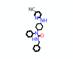 N#Cc1ccc(N[C@H]2CC[C@H](N(C(=O)NCc3ccccc3)c3ccccc3)CC2)nc1